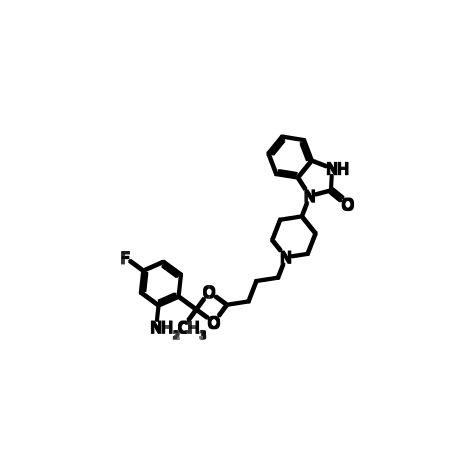 CC1(c2ccc(F)cc2N)OC(CCCN2CCC(n3c(=O)[nH]c4ccccc43)CC2)O1